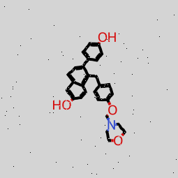 Oc1ccc(-c2ccc3cc(O)ccc3c2Cc2ccc(OCN3CCOCC3)cc2)cc1